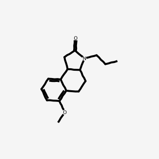 CCCN1C(=O)CC2c3cccc(OC)c3CCC21